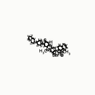 COc1cc(N2CCC(N3CCN4CCCC4C3)CC2)c(C)cc1Nc1ncc(Br)c(Nc2ccc3nccnc3c2P(C)(C)=O)n1